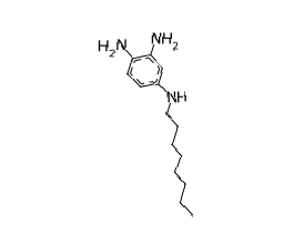 CCCCCCCCNc1ccc(N)c(N)c1